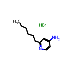 Br.CCCCCCc1cc(N)ccn1